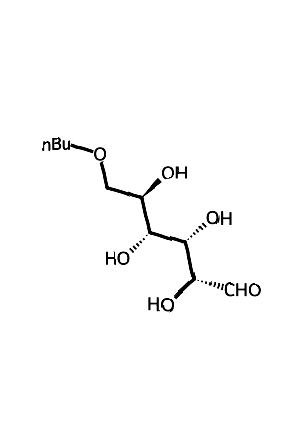 CCCCOC[C@@H](O)[C@@H](O)[C@H](O)[C@@H](O)C=O